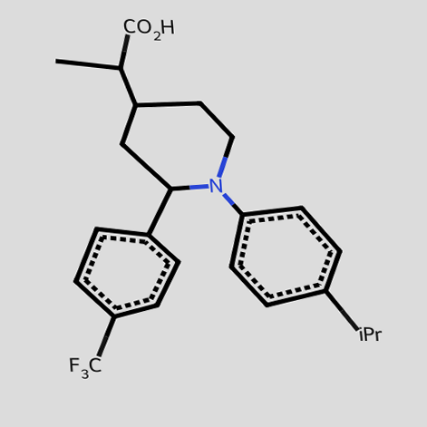 CC(C)c1ccc(N2CCC(C(C)C(=O)O)CC2c2ccc(C(F)(F)F)cc2)cc1